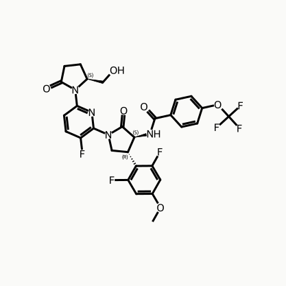 COc1cc(F)c([C@@H]2CN(c3nc(N4C(=O)CC[C@H]4CO)ccc3F)C(=O)[C@H]2NC(=O)c2ccc(OC(F)(F)F)cc2)c(F)c1